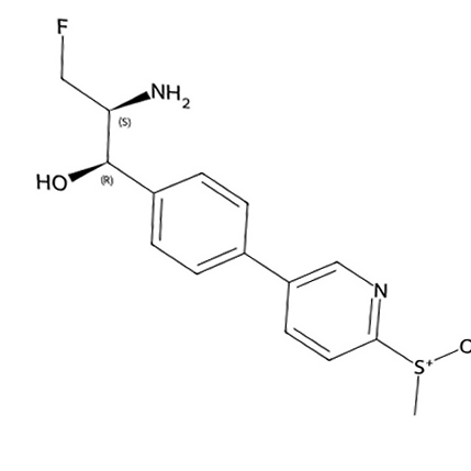 C[S+]([O-])c1ccc(-c2ccc([C@@H](O)[C@H](N)CF)cc2)cn1